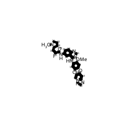 COc1cc(Oc2ccn3ncnc3c2)c(C)cc1Nc1ncnc2ccc(NC(=O)/C(F)=C\C3CCCN3C)cc12